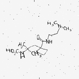 CN(C)CCNC(=O)C1(CC(C)(C)NC(=O)O)CCC1